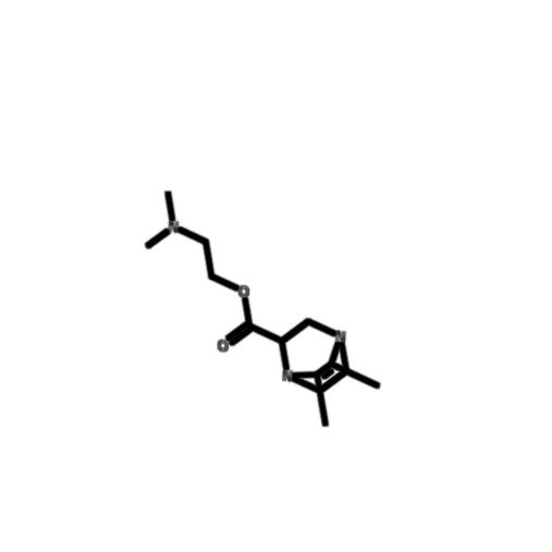 CC1=C(C)N2CCN1CC2C(=O)OCCN(C)C